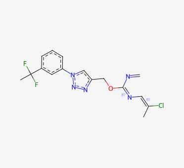 C=N/C(=N\C=C(/C)Cl)OCc1cn(-c2cccc(C(C)(F)F)c2)nn1